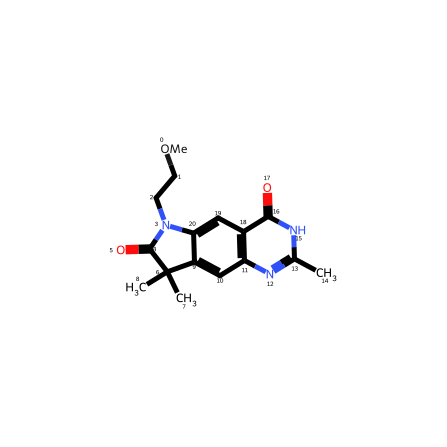 COCCN1C(=O)C(C)(C)c2cc3nc(C)[nH]c(=O)c3cc21